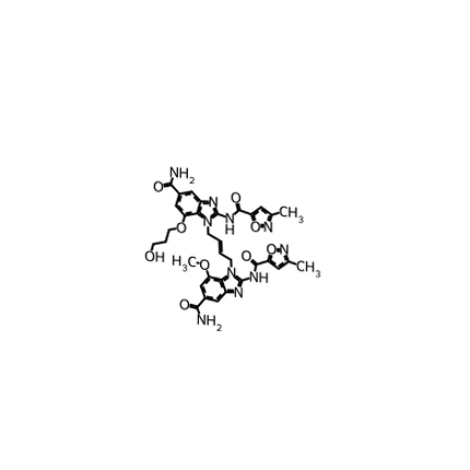 COc1cc(C(N)=O)cc2nc(NC(=O)c3cc(C)no3)n(CC=CCn3c(NC(=O)c4cc(C)no4)nc4cc(C(N)=O)cc(OCCCO)c43)c12